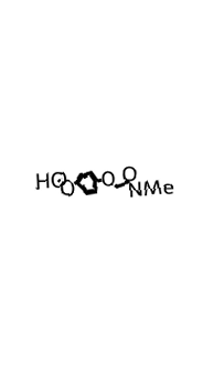 CNC(=O)COc1ccc(OO)cc1